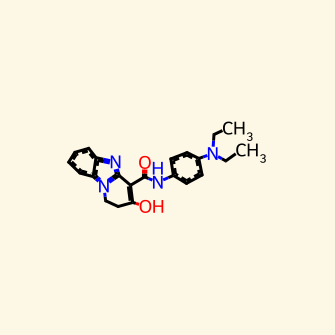 CCN(CC)c1ccc(NC(=O)C2=C(O)CCn3c2nc2ccccc23)cc1